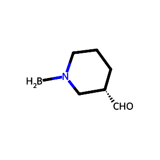 BN1CCC[C@H](C=O)C1